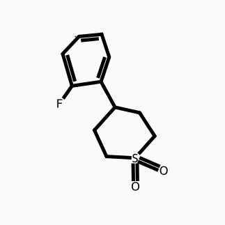 O=S1(=O)CCC(c2cc[c]cc2F)CC1